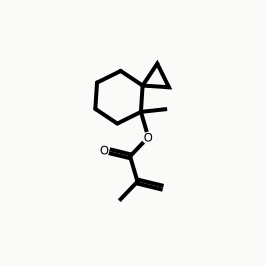 C=C(C)C(=O)OC1(C)CCCCC12CC2